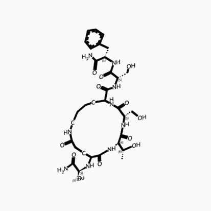 CC[C@H](C)[C@H](NC1CCC(=O)NCCCCC(C(=O)N[C@@H](CO)C(=O)N[C@@H](Cc2ccccc2)C(N)=O)NC(=O)[C@H](CO)NC(=O)[C@H]([C@@H](C)O)NC1=O)C(N)=O